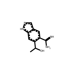 CC(O)c1cc2[nH]ncc2cc1C(=N)N